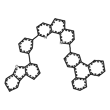 c1cc(-c2ccc3ccc4ccc(-c5ccc6c7ccccc7c7ccccc7c6c5)nc4c3n2)cc(-c2cccc3c2oc2ccccc23)c1